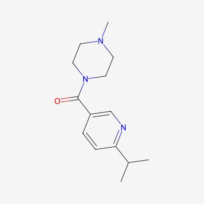 CC(C)c1ccc(C(=O)N2CCN(C)CC2)cn1